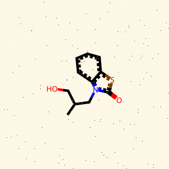 CC(CO)Cn1c(=O)sc2ccccc21